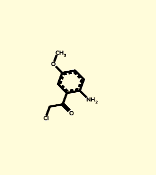 COc1ccc(N)c(C(=O)CCl)c1